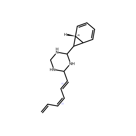 C=C/C=C\C=C\C1NCNC(C2C3C=CC=C[C@H]32)N1